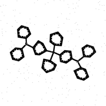 c1ccc(N(c2ccccc2)c2ccc(C(c3ccccc3)(c3ccccc3)c3ccc(N(c4ccccc4)c4ccccc4)cc3)cc2)cc1